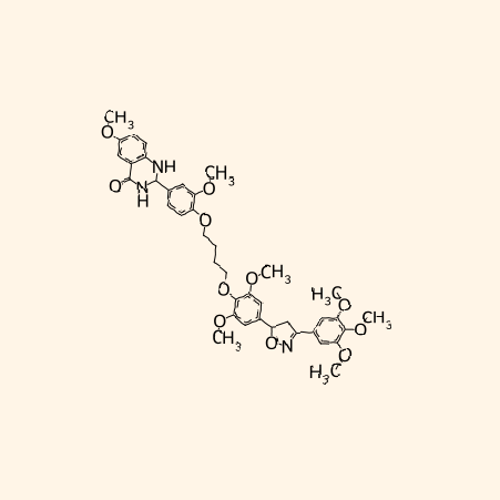 COc1ccc2c(c1)C(=O)NC(c1ccc(OCCCCOc3c(OC)cc(C4CC(c5cc(OC)c(OC)c(OC)c5)=NO4)cc3OC)c(OC)c1)N2